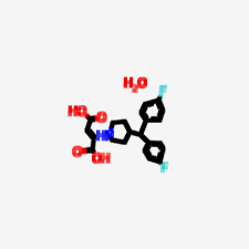 Fc1ccc(C(c2ccc(F)cc2)C2CCNCC2)cc1.O.O=C(O)C=CC(=O)O